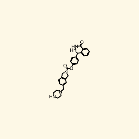 O=C1NNC(c2ccc(OC(=O)N3Cc4ccc(CN5CCNCC5)cc4C3)cc2)c2ccccc21